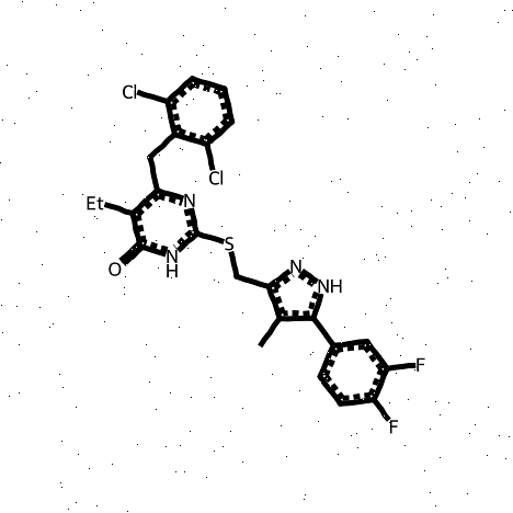 CCc1c(Cc2c(Cl)cccc2Cl)nc(SCc2n[nH]c(-c3ccc(F)c(F)c3)c2C)[nH]c1=O